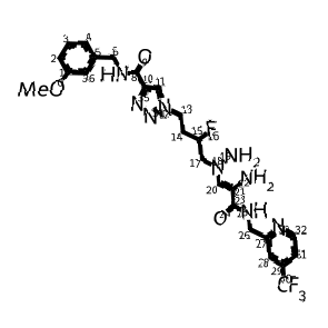 COc1cccc(CNC(=O)c2cn(CCC(F)CN(N)/C=C(\N)C(=O)NCc3cc(C(F)(F)F)ccn3)nn2)c1